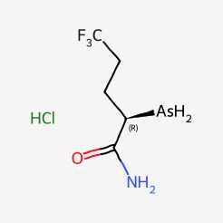 Cl.NC(=O)[C@H]([AsH2])CCC(F)(F)F